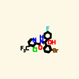 O=C(N[C@H](c1cccc(Br)c1)C1(O)CCC(F)CC1)c1nccc(C(F)(F)F)c1Cl